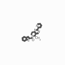 CC1c2cnc(-c3ccccn3)nc2CCN1C(=O)c1cc2ccccc2s1